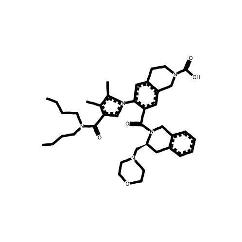 CCCCN(CCCC)C(=O)c1cn(-c2cc3c(cc2C(=O)N2Cc4ccccc4C[C@H]2CN2CCOCC2)CN(C(=O)O)CC3)c(C)c1C